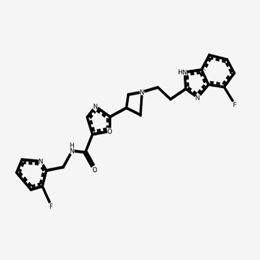 O=C(NCc1ncccc1F)c1cnc(C2CN(CCc3nc4c(F)cccc4[nH]3)C2)o1